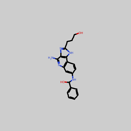 Nc1nc2cc(NC(O)c3ccccc3)ccc2c2[nH]c(CCCO)nc12